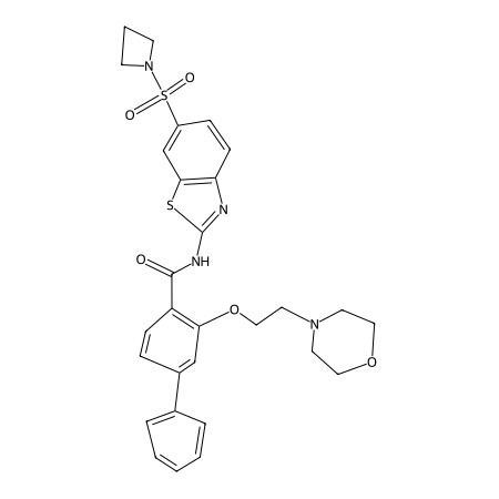 O=C(Nc1nc2ccc(S(=O)(=O)N3CCC3)cc2s1)c1ccc(-c2ccccc2)cc1OCCN1CCOCC1